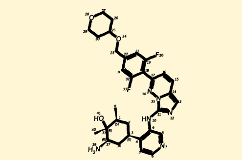 C[C@H]1C[C@@H](c2ccncc2Nc2ncc3ccc(-c4c(F)cc(COC5CCOCC5)cc4F)nn23)C[C@@H](N)[C@]1(C)O